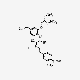 CCC(C(Oc1ccc(CC#N)cc1OCC(CN)O[N+](=O)[O-])C(C)C)N(C)CCc1ccc(OC)c(OC)c1